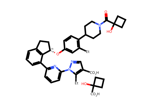 CCc1cc(O[C@H]2CCc3cccc(-c4cccc(-n5ncc(C(=O)O)c5CC)n4)c32)ccc1C1CCN(C(=O)C2(O)CCC2)CC1.O=C(O)C1(O)CCC1